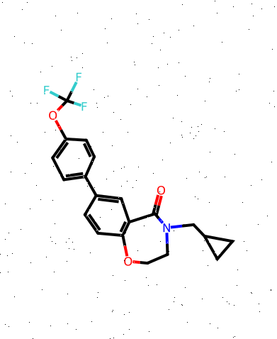 O=C1c2cc(-c3ccc(OC(F)(F)F)cc3)ccc2OCCN1CC1CC1